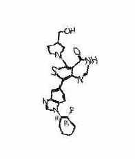 O=c1[nH]cnc2c(-c3ccc4c(c3)ncn4[C@@H]3CCCC[C@H]3F)sc(N3CCC(CO)C3)c12